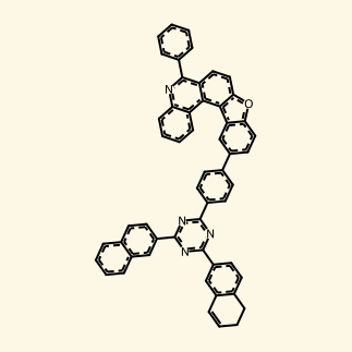 C1=Cc2cc(-c3nc(-c4ccc(-c5ccc6oc7ccc8c(-c9ccccc9)nc9ccccc9c8c7c6c5)cc4)nc(-c4ccc5ccccc5c4)n3)ccc2CC1